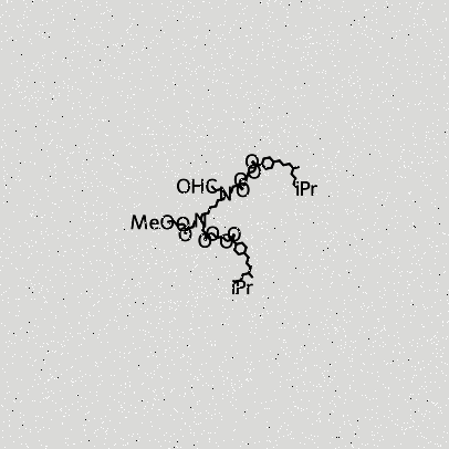 COCCOC(=O)CCN(CCCCCCN(CCC=O)CCC(=O)OCCOC(=O)C1CCC(CCCC(C)CCCC(C)C)CC1)CCC(=O)OCCOC(=O)C1CCC(CCCC(C)CCCC(C)C)CC1